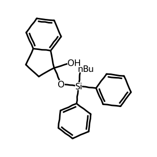 CCCC[Si](OC1(O)CCc2ccccc21)(c1ccccc1)c1ccccc1